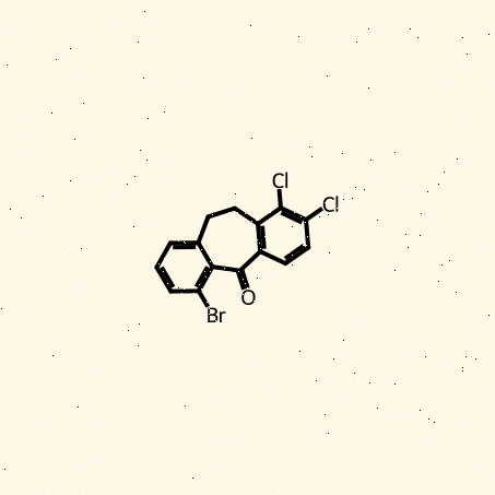 O=C1c2ccc(Cl)c(Cl)c2CCc2cccc(Br)c21